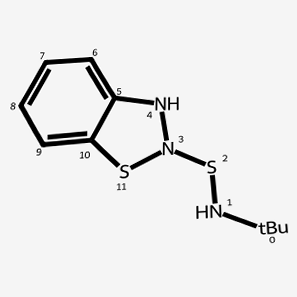 CC(C)(C)NSN1Nc2ccccc2S1